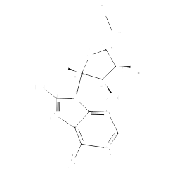 C[C@@]1(n2c(N)nc3c(N)ncnc32)O[C@H](CO)[C@@H](O)[C@H]1O